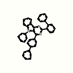 c1ccc(-c2ccc(-c3nc(-c4ccccc4-c4ccccc4)nc4c5ccccc5n(-c5ccccc5)c34)cc2)cc1